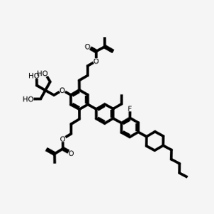 C=C(C)C(=O)OCCCc1cc(-c2ccc(-c3ccc(C4CCC(CCCCC)CC4)cc3F)c(CC)c2)c(CCCOC(=O)C(=C)C)cc1OCC(CO)(CO)CO